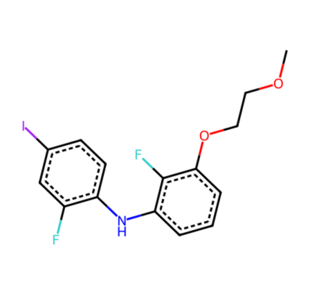 COCCOc1cccc(Nc2ccc(I)cc2F)c1F